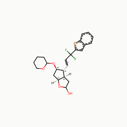 OC1C[C@@H]2[C@@H](/C=C/C(F)(F)c3cc4ccccc4s3)[C@H](OC3CCCCO3)C[C@@H]2O1